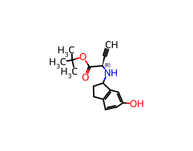 C#C[C@@H](NC1CCc2ccc(O)cc21)C(=O)OC(C)(C)C